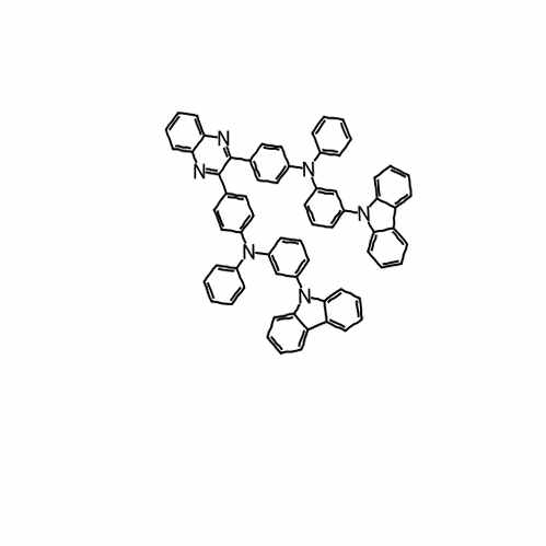 c1ccc(N(c2ccc(-c3nc4ccccc4nc3-c3ccc(N(c4ccccc4)c4cccc(-n5c6ccccc6c6ccccc65)c4)cc3)cc2)c2cccc(-n3c4ccccc4c4ccccc43)c2)cc1